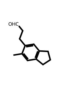 Cc1cc2c(cc1CCC=O)CCC2